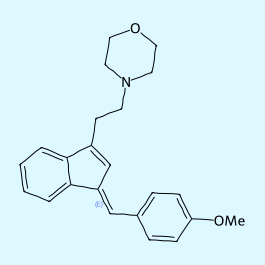 COc1ccc(/C=C2\C=C(CCN3CCOCC3)c3ccccc32)cc1